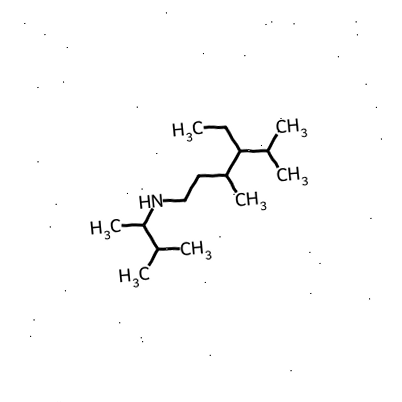 CCC(C(C)C)C(C)CCNC(C)C(C)C